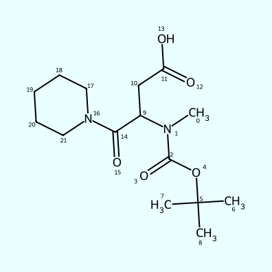 CN(C(=O)OC(C)(C)C)C(CC(=O)O)C(=O)N1CCCCC1